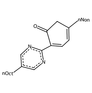 CCCCCCCCCC1=CC=C(c2ncc(CCCCCCCC)cn2)C(=O)C1